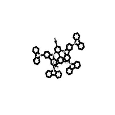 Cc1cc(-c2c(-n3c4ccc(-n5c6ccccc6c6ccccc65)cc4c4cc(-n5c6ccccc6c6ccccc65)ccc43)cc(C#N)cc2-n2c3ccc(-n4c5ccccc5c5ccccc54)cc3c3cc(-n4c5ccccc5c5ccccc54)ccc32)cc(C(F)(F)F)c1